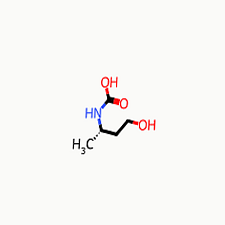 C[C@@H](CCO)NC(=O)O